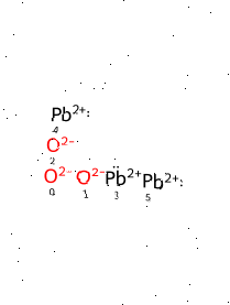 [O-2].[O-2].[O-2].[Pb+2].[Pb+2].[Pb+2]